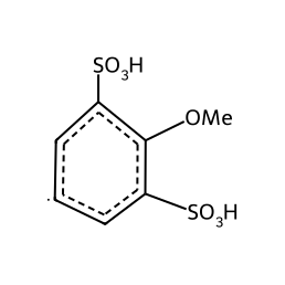 COc1c(S(=O)(=O)O)c[c]cc1S(=O)(=O)O